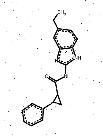 CCc1ccc2[nH]c(NC(=O)C3CC3c3ccccc3)nc2c1